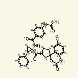 O=C(O)Nc1ccc(C(=O)N[C@@]2(C(=O)N3CCC4(C3)OC(=O)Nc3ccc(Cl)cc34)C[C@@H]2c2ccccc2)cc1